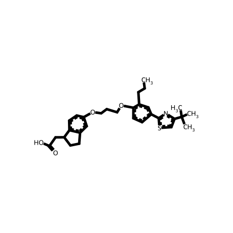 CCCc1cc(-c2nc(C(C)(C)C)cs2)ccc1OCCCOc1ccc2c(c1)CCC2CC(=O)O